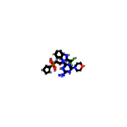 Nc1nc(N2CCOCC2)nc([N+]2(CCS(=O)(=O)C3CCCC3)C(C(F)F)=Nc3ccccc32)n1